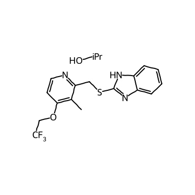 CC(C)O.Cc1c(OCC(F)(F)F)ccnc1CSc1nc2ccccc2[nH]1